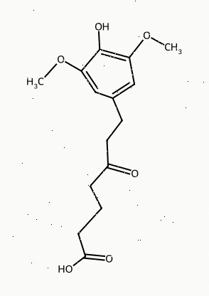 COc1cc(CCC(=O)CCCC(=O)O)cc(OC)c1O